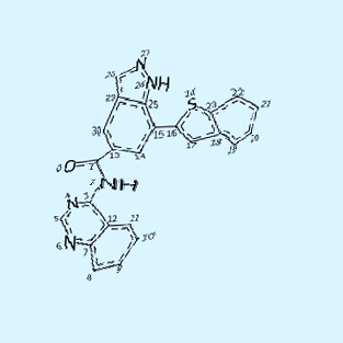 O=C(Nc1ncnc2ccccc12)c1cc(-c2cc3ccccc3s2)c2[nH]ncc2c1